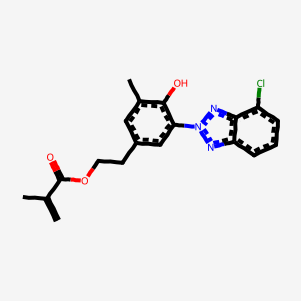 C=C(C)C(=O)OCCc1cc(C)c(O)c(-n2nc3cccc(Cl)c3n2)c1